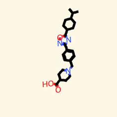 CC(C)C1CCC(c2nc(-c3ccc(CN4CCC(C(=O)O)CC4)cc3)no2)CC1